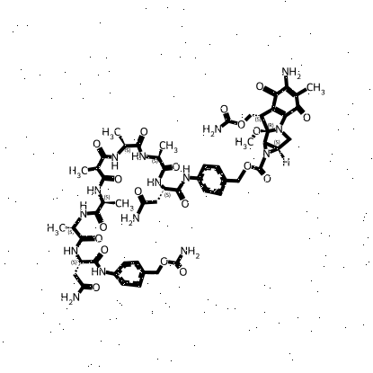 CO[C@]12C3[C@H](CN1C1=C(C(=O)C(N)=C(C)C1=O)[C@H]2COC(N)=O)N3C(=O)OCc1ccc(NC(=O)[C@H](CC(N)=O)NC(=O)[C@H](C)NC(=O)[C@H](C)NC(=O)C(C)C(=O)N[C@@H](C)C(=O)N[C@@H](C)C(=O)N[C@@H](CC(N)=O)C(=O)Nc2ccc(COC(N)=O)cc2)cc1